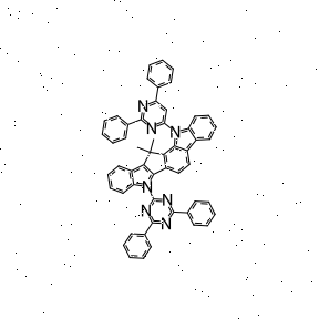 CC1(C)c2c(n(-c3nc(-c4ccccc4)nc(-c4ccccc4)n3)c3ccccc23)-c2ccc3c4ccccc4n(-c4cc(-c5ccccc5)nc(-c5ccccc5)n4)c3c21